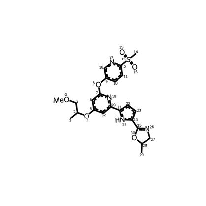 COCC(C)Oc1cc(Oc2ccc(S(C)(=O)=O)nc2)nc(-c2ccc(C3=NCC(C)O3)[nH]2)c1